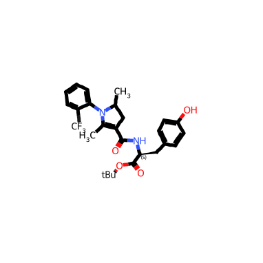 CC1=C(C(=O)N[C@@H](Cc2ccc(O)cc2)C(=O)OC(C)(C)C)CC(C)N1c1ccccc1C(F)(F)F